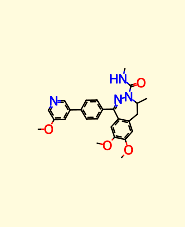 CNC(=O)N1N=C(c2ccc(-c3cncc(OC)c3)cc2)c2cc(OC)c(OC)cc2CC1C